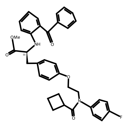 COC(=O)[C@H](Cc1ccc(OCCN(C(=O)C2CCC2)c2ccc(F)cc2)cc1)Nc1ccccc1C(=O)c1ccccc1